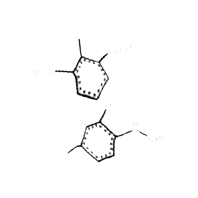 Cc1c(C(=O)O)cccc1C(=O)O.O=CNc1ccc(F)cc1C(F)(F)F